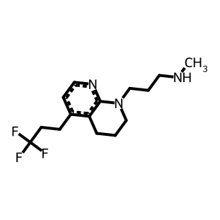 CNCCCN1CCCc2c(CCC(F)(F)F)ccnc21